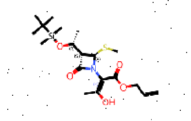 C=CCOC(=O)/C(=C(/C)O)N1C(=O)[C@H]([C@@H](C)O[Si](C)(C)C(C)(C)C)[C@H]1SC